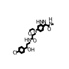 CNC(=O)c1n[nH]c2cc(N3CCOC(C(=O)NCCC(O)c4ccc(Cl)cc4)C3)ccc12